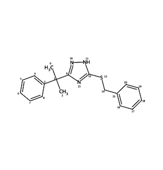 CC(C)(c1ccccc1)c1n[nH]c(SCc2ccccc2)n1